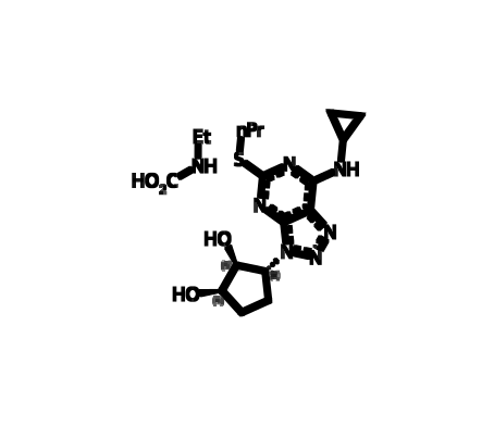 CCCSc1nc(NC2CC2)c2nnn([C@@H]3CC[C@@H](O)[C@H]3O)c2n1.CCNC(=O)O